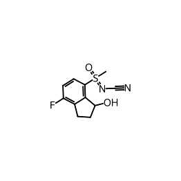 CS(=O)(=NC#N)c1ccc(F)c2c1C(O)CC2